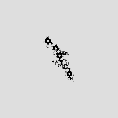 Br.C/C(C(=O)N1CCN(Cc2ccc(C)cc2)CC1)=C(/C)c1cc(C)c(Oc2ccc(OCc3ccccc3Cl)cn2)c(Cl)c1